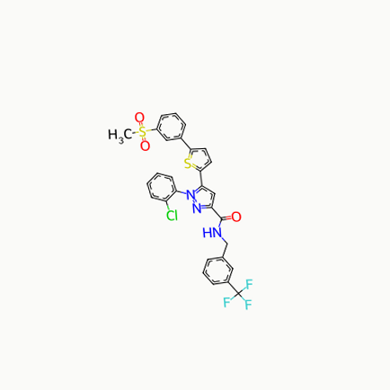 CS(=O)(=O)c1cccc(-c2ccc(-c3cc(C(=O)NCc4cccc(C(F)(F)F)c4)nn3-c3ccccc3Cl)s2)c1